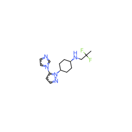 CC(F)(F)CN[C@H]1CC[C@@H](n2nccc2-n2ccnc2)CC1